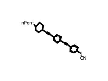 CCCCCC1CCC(C#Cc2ccc(C#Cc3ccc(SC#N)cc3)cc2)CC1